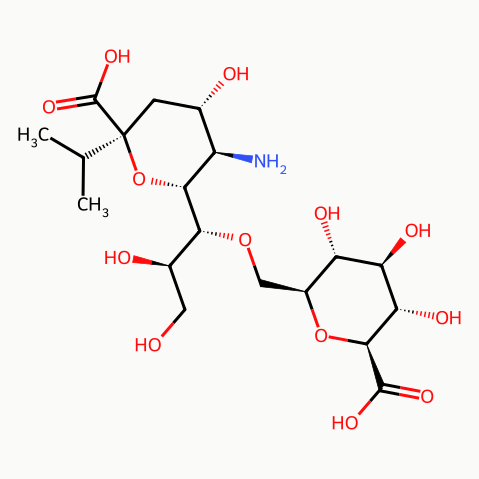 CC(C)[C@]1(C(=O)O)C[C@H](O)[C@@H](N)[C@H]([C@H](OC[C@@H]2O[C@H](C(=O)O)[C@@H](O)[C@H](O)[C@H]2O)[C@H](O)CO)O1